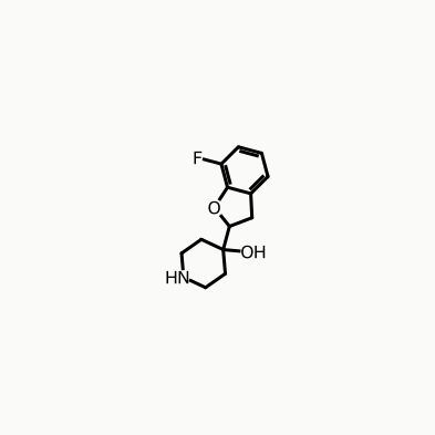 OC1(C2Cc3cccc(F)c3O2)CCNCC1